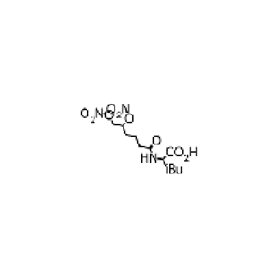 CCC(C)C(NC(=O)CCCC(CO[N+](=O)[O-])O[N+](=O)[O-])C(=O)O